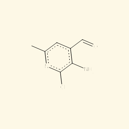 Cc1cc(C=O)c(N)c(Cl)n1